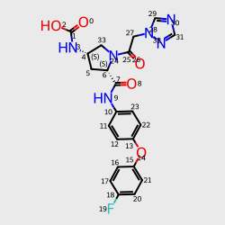 O=C(O)N[C@H]1C[C@@H](C(=O)Nc2ccc(Oc3ccc(F)cc3)cc2)N(C(=O)Cn2cncn2)C1